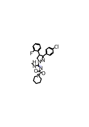 CN/C(=N\S(=O)(=O)N1CCCCC1)N1CC(c2ccccc2F)C(c2ccc(Cl)cc2)=N1